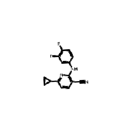 N#Cc1ccc(C2CC2)nc1Nc1ccc(F)c(F)c1